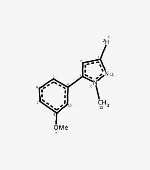 [2H]c1cc(-c2cccc(OC)c2)n(C)n1